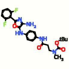 CN(CCC(=O)Nc1ccc(Nc2oc(-c3c(F)cccc3F)nc2N)cc1)C(=O)OC(C)(C)C